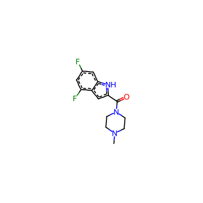 CN1CCN(C(=O)c2cc3c(F)cc(F)cc3[nH]2)CC1